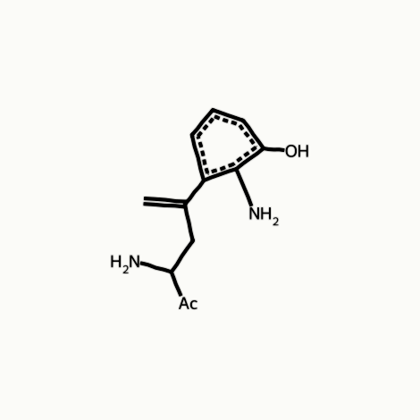 C=C(CC(N)C(C)=O)c1cccc(O)c1N